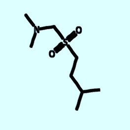 CC(C)CCS(=O)(=O)CN(C)C